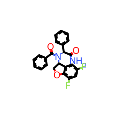 NC(=O)[C@@H](c1ccccc1)N(C(=O)c1ccccc1)[C@@H]1COc2c(F)cc(F)cc21